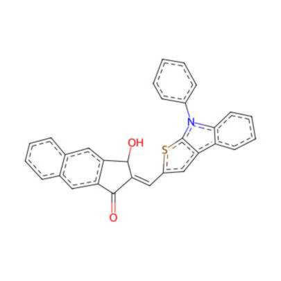 O=C1/C(=C/c2cc3c4ccccc4n(-c4ccccc4)c3s2)C(O)c2cc3ccccc3cc21